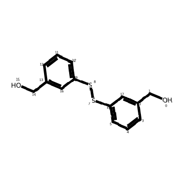 OCc1cccc(SSc2cccc(CO)c2)c1